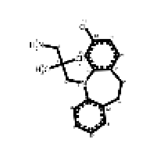 CC(C)(CN)CN1c2ccccc2CCc2ccc(Cl)cc21